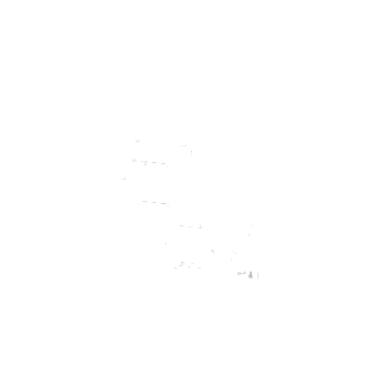 Cc1cc(-c2cccc(C(N)=O)c2)ccc1F